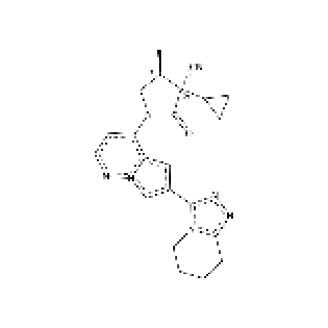 C[C@@H]1CN(c2ccnn3cc(-c4nnc5n4CCCC5)cc23)C(=O)[C@]1(C#N)C1CC1